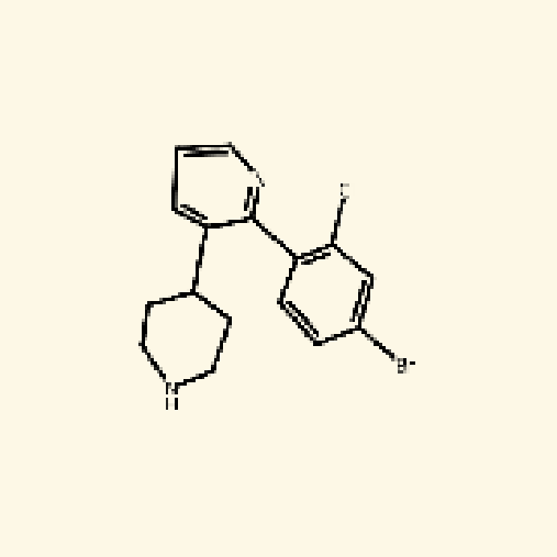 Clc1cc(Br)ccc1-c1ncccc1C1CCNCC1